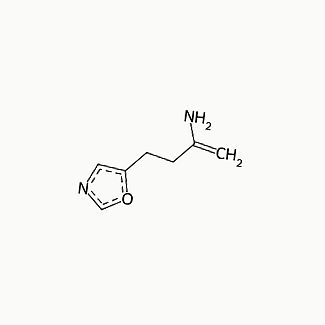 C=C(N)CCc1cnco1